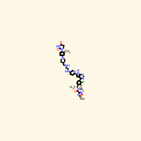 Cc1cc(N2CCC(CNCCNc3ccc(-c4cc5c(-c6ccc([C@@H](C)NC(=O)c7noc(C(C)(C)C)n7)c(C)c6F)ncnc5[nH]4)nc3)CC2)ccc1N1CCC(=O)NC1=O